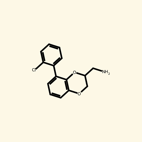 NCC1COc2cccc(-c3ccccc3Cl)c2O1